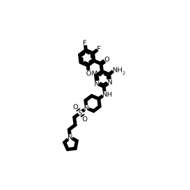 COc1ccc(F)c(F)c1C(=O)c1cnc(NC2CCN(S(=O)(=O)CCCN3CCCC3)CC2)nc1N